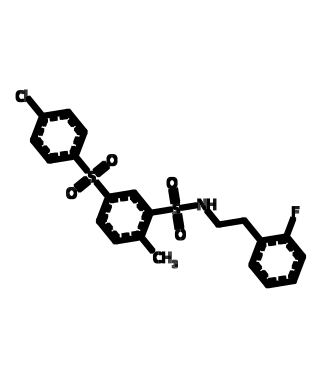 Cc1ccc(S(=O)(=O)c2ccc(Cl)cc2)cc1S(=O)(=O)NCCc1ccccc1F